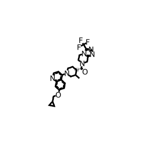 CC1CN(c2ccnc3cc(OCC4CC4)ccc23)CC[C@@H]1C(=O)N1CCn2c(nnc2C(F)(F)F)C1